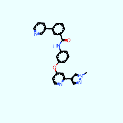 Cn1cc(-c2cc(Oc3cccc(NC(=O)c4cccc(-c5cccnc5)c4)c3)ccn2)cn1